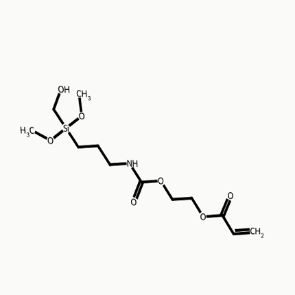 C=CC(=O)OCCOC(=O)NCCC[Si](CO)(OC)OC